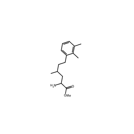 COC(=O)C(N)CC(C)CCc1cccc(C)c1C